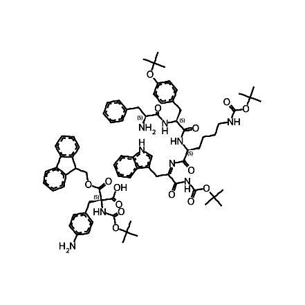 CC(C)(C)OC(=O)NCCCC[C@H](NC(=O)[C@H](Cc1ccc(OC(C)(C)C)cc1)NC(=O)[C@@H](N)Cc1ccccc1)C(=O)N=C(Cc1c[nH]c2ccccc12)C(=O)NC(=O)OC(C)(C)C.CC(C)(C)OC(=O)N[C@@](Cc1ccc(N)cc1)(C(=O)O)C(=O)OCC1c2ccccc2-c2ccccc21